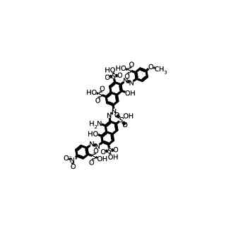 COc1ccc(N=Nc2c(S(=O)(=O)O)cc3c(S(=O)(=O)O)cc(N=Nc4c(S(=O)(=O)O)cc5cc(S(=O)(=O)O)c(N=Nc6ccc([N+](=O)[O-])cc6S(=O)(=O)O)c(O)c5c4N)cc3c2O)c(S(=O)(=O)O)c1